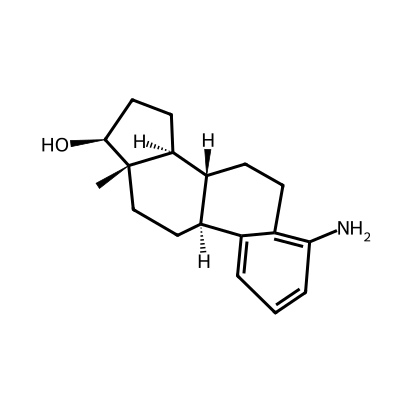 C[C@]12CC[C@@H]3c4cccc(N)c4CC[C@H]3[C@@H]1CC[C@@H]2O